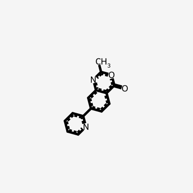 Cc1nc2cc(-c3ccccn3)ccc2c(=O)o1